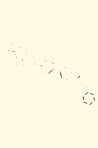 CC1(C)C(C2=CC[C@H](C(=O)OCc3ccccc3)CC2)=CC[C@]2(C)[C@H]3CC[C@@H]4[C@H]5CCC[C@]5(N)CC[C@@]4(C)[C@]3(C)CC[C@@H]12